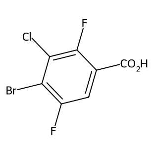 O=C(O)c1cc(F)c(Br)c(Cl)c1F